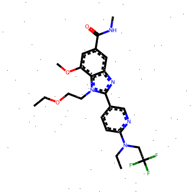 CCOCCn1c(-c2ccc(N(CC)CC(F)(F)F)nc2)nc2cc(C(=O)NC)cc(OC)c21